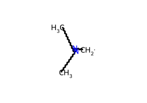 [CH2]CCCc1nc(CCCCCCCCCCCCCCC)cc(CCCCCCCCCCCCCCC)n1